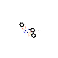 COc1ccc(Cn2c(S(=O)(=O)c3ccccc3)nnc2S(=O)(=O)c2ccccc2)cc1